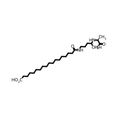 C[C@H](NC(O)CCCNC(=O)CCCCCCCCCCCCCCCCC(=O)O)C(=O)S